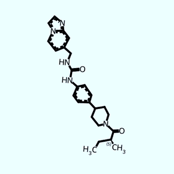 CC[C@H](C)C(=O)N1CCC(c2ccc(NC(=O)NCc3ccn4ccnc4c3)cc2)CC1